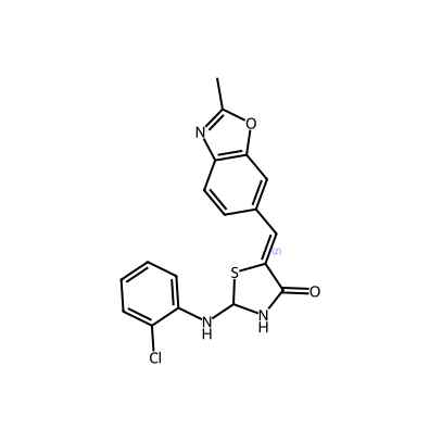 Cc1nc2ccc(/C=C3\SC(Nc4ccccc4Cl)NC3=O)cc2o1